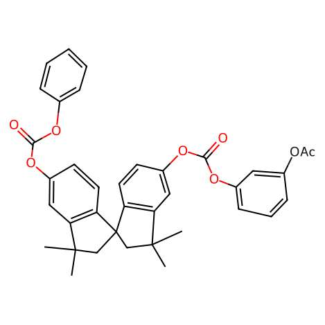 CC(=O)Oc1cccc(OC(=O)Oc2ccc3c(c2)C(C)(C)CC32CC(C)(C)c3cc(OC(=O)Oc4ccccc4)ccc32)c1